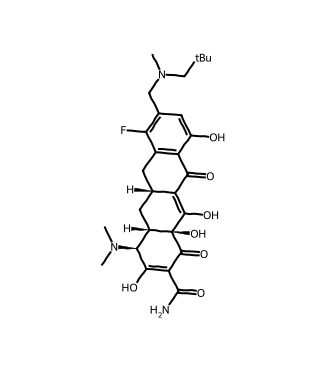 CN(Cc1cc(O)c2c(c1F)C[C@H]1C[C@H]3[C@H](N(C)C)C(O)=C(C(N)=O)C(=O)[C@@]3(O)C(O)=C1C2=O)CC(C)(C)C